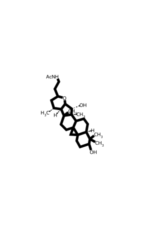 CC(=O)NCCC1C[C@@H](C)[C@H]2C(O1)[C@H](O)[C@@]1(C)C3CC[C@H]4C(C)(C)C(O)CCC45CC35CCC21C